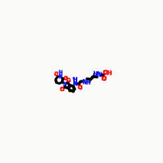 O=C(O)NCCCCNCC(=O)Nc1cccc2c1C(=O)N(C1CCCC(=O)NC1=O)C2=O